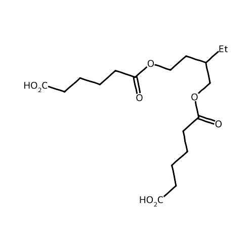 CCC(CCOC(=O)CCCCC(=O)O)COC(=O)CCCCC(=O)O